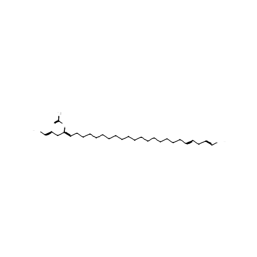 CCCCCC=CCC=CCCCCCCCCCCCCCCCCCC=C(CC=CCCCCC)OC(N)=O